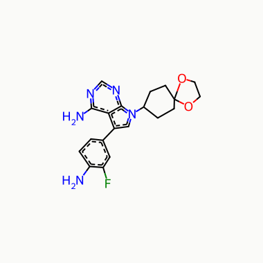 Nc1ccc(-c2cn(C3CCC4(CC3)OCCO4)c3ncnc(N)c23)cc1F